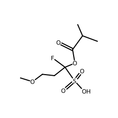 COCCC(F)(OC(=O)C(C)C)S(=O)(=O)O